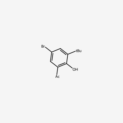 CC(=O)c1cc(Br)cc(C(C)(C)C)c1O